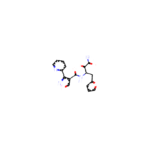 NC(=O)C(=O)C(Cc1ccco1)NC(=O)c1conc1-c1ccccn1